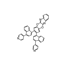 c1ccc2nc3c(nc2c1)Oc1cc(-c2ccc(-c4ccncc4)c4ccccc24)c(-c2ccc(-c4ccncc4)c4ccccc24)cc1O3